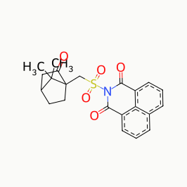 CC1(C)C2CCC1(CS(=O)(=O)N1C(=O)c3cccc4cccc(c34)C1=O)C(=O)C2